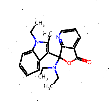 CCN(CC)C1(c2c(C)n(CC)c3ccccc23)OC(=O)c2cccnc21